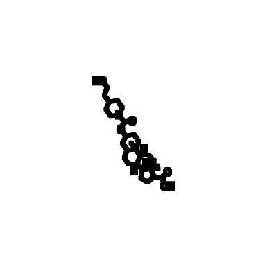 C[C@]12CCC(OC(=O)N3CCC(CCO)CC3)CC1CC[C@@H]1[C@H]2CC[C@]2(C)C(C(=O)O)CC[C@@]12N